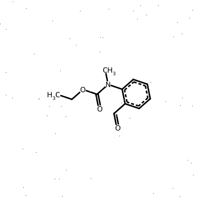 CCOC(=O)N(C)c1ccccc1C=O